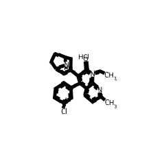 CCn1c(=O)c(C2CC3CCC(C2)N3C)c(-c2cccc(Cl)c2)c2ccc(C)nc21.Cl